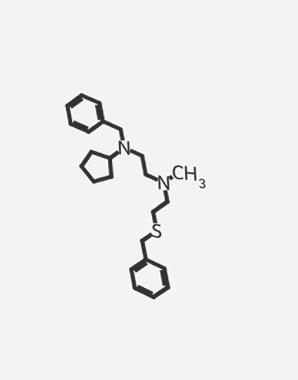 CN(CCSCc1ccccc1)CCN(Cc1ccccc1)C1CCCC1